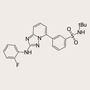 CC(C)(C)NS(=O)(=O)c1cccc(-c2cccc3nc(Nc4ccccc4F)nn23)c1